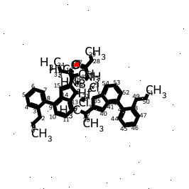 CCCc1ccccc1-c1cccc2c1C=C(C(C)C)[CH]2[Hf]([Cl])([Cl])([B](NC(=O)CC)NC(=O)CC)[CH]1C(C(C)C)=Cc2c(-c3ccccc3CCC)cccc21